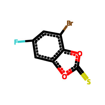 Fc1cc(Br)c2oc(=S)oc2c1